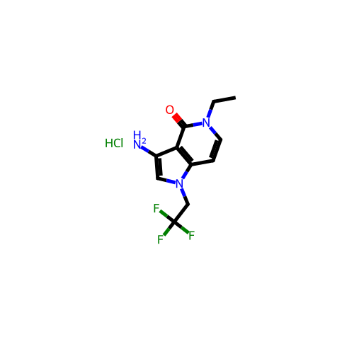 CCn1ccc2c(c(N)cn2CC(F)(F)F)c1=O.Cl